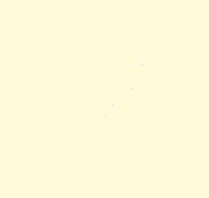 O=C(O)N1CCNCC1Cc1n[nH]c(C2CCCCO2)c1O